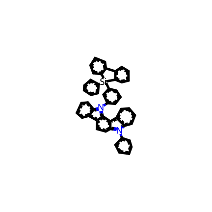 c1ccc(-n2c3ccccc3c3c2ccc2c4ccccc4n(-c4cccc([Si]5(c6ccccc6)c6ccccc6-c6ccccc65)c4)c23)cc1